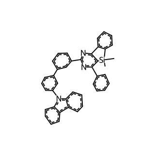 C[Si]1(C)c2ccccc2-c2nc(-c3cccc(-c4cccc(-n5c6ccccc6c6ccccc65)c4)c3)nc(-c3ccccc3)c21